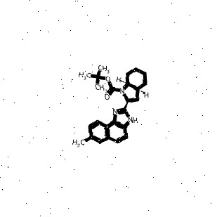 Cc1ccc2c(ccc3[nH]c([C@@H]4C[C@@H]5CCCC[C@@H]5N4C(=O)OC(C)(C)C)nc32)c1